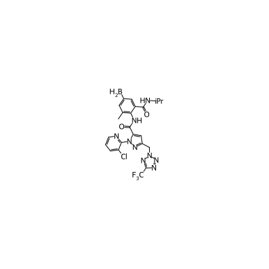 Bc1cc(C)c(NC(=O)c2cc(Cn3nnc(C(F)(F)F)n3)nn2-c2ncccc2Cl)c(C(=O)NC(C)C)c1